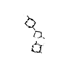 CC1CC(c2ccc(Cl)cc2)CN1c1cccc(F)c1F